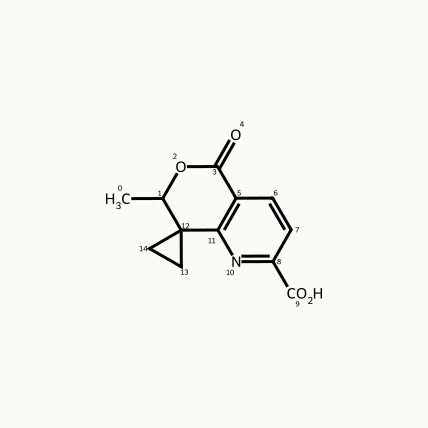 CC1OC(=O)c2ccc(C(=O)O)nc2C12CC2